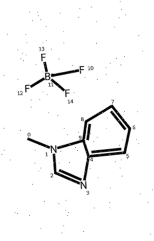 Cn1cnc2ccccc21.F[B-](F)(F)F